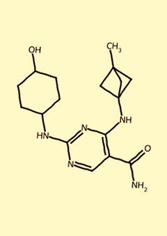 CC12CC(Nc3nc(NC4CCC(O)CC4)ncc3C(N)=O)(C1)C2